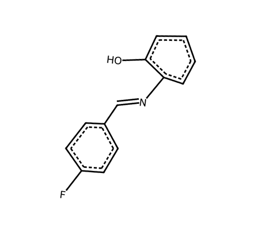 Oc1ccccc1N=Cc1ccc(F)cc1